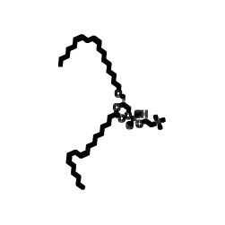 CCCCC/C=C\C/C=C\CCCCCCCCOC[C@H](COP(=O)(O)OCC[N+](C)(C)C)OC(=O)CCCCCCC/C=C\C/C=C\CCCCC